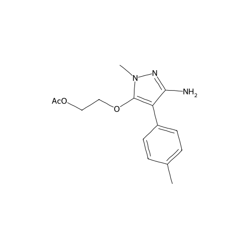 CC(=O)OCCOc1c(-c2ccc(C)cc2)c(N)nn1C